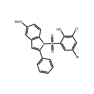 COc1ccc2c(c1)cc(-c1ccccc1)n2S(=O)(=O)c1cc(Br)cc(Cl)c1O